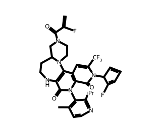 C=C(F)C(=O)N1CCN2c3c(c(=O)n(-c4c(C)ccnc4C(C)C)c4c(=O)n(C5C=CC=C5F)c(C(F)(F)F)cc34)NCCC2C1